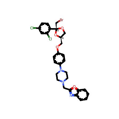 Clc1ccc([C@]2(CBr)OC[C@@H](COc3ccc(N4CCN(Cc5nc6ccccc6o5)CC4)cc3)O2)c(Cl)c1